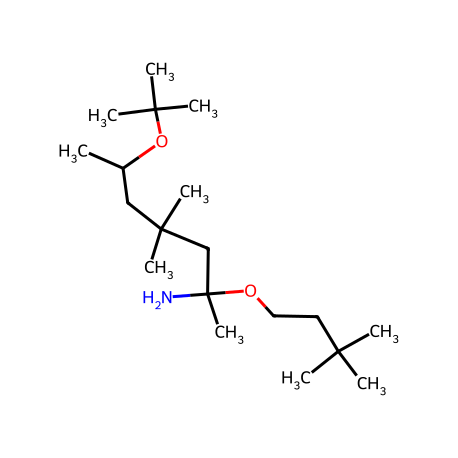 CC(CC(C)(C)CC(C)(N)OCCC(C)(C)C)OC(C)(C)C